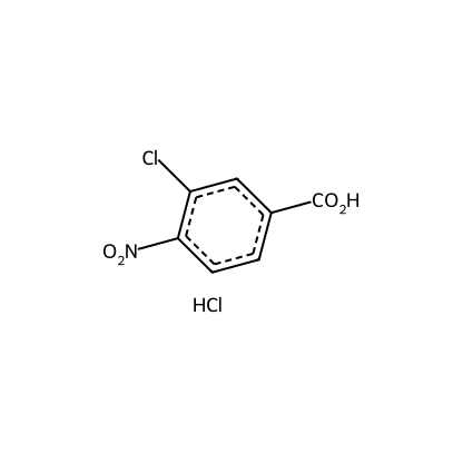 Cl.O=C(O)c1ccc([N+](=O)[O-])c(Cl)c1